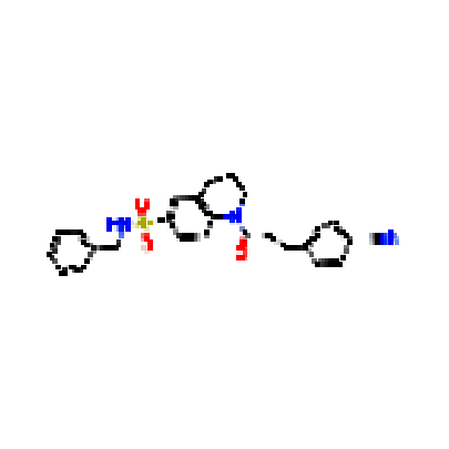 N#Cc1ccc(CCC(=O)N2CCCc3cc(S(=O)(=O)NCc4ccccc4)ccc32)cc1